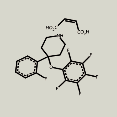 Fc1ccccc1C1(Oc2c(F)c(F)c(F)c(F)c2F)CCNCC1.O=C(O)/C=C\C(=O)O